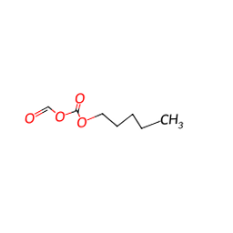 CCCCCOC(=O)OC=O